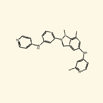 Cc1cc(Nc2cc(C)c3c(c2)CN(c2cccc(Nc4ccncc4)c2)N3C)ccn1